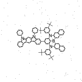 CC(C)(C)c1cc(N2c3cc4ccccc4cc3B3c4cc5ccccc5cc4N(c4cc(C(C)(C)C)cc(C(C)(C)C)c4)c4cc(-c5ccc6c7cc8c9ccccc9n(-c9ccccc9)c8cc7n(-c7ccccc7)c6c5)cc2c43)cc(C(C)(C)C)c1